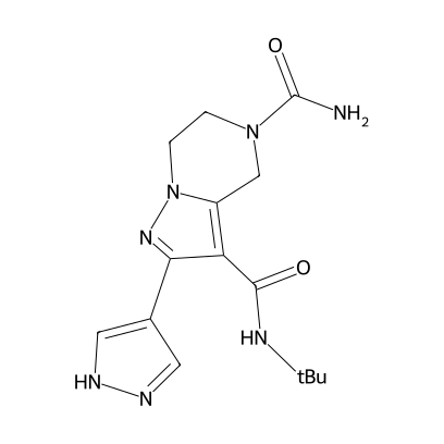 CC(C)(C)NC(=O)c1c(-c2cn[nH]c2)nn2c1CN(C(N)=O)CC2